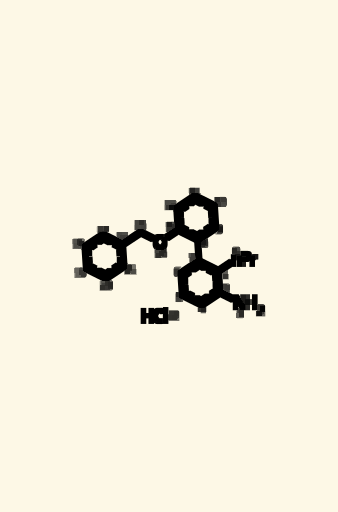 CCCc1c(N)cccc1-c1ccccc1OCc1ccccc1.Cl